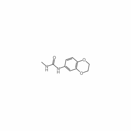 CNC(=O)Nc1ccc2c(c1)OCCO2